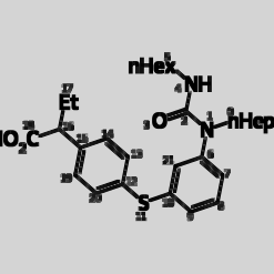 CCCCCCCN(C(=O)NCCCCCC)c1cccc(Sc2ccc(C(CC)C(=O)O)cc2)c1